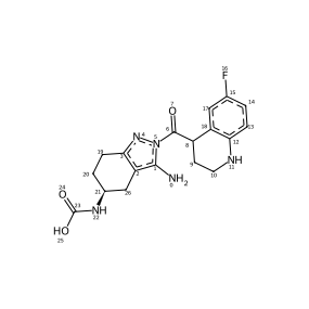 Nc1c2c(nn1C(=O)C1CCNc3ccc(F)cc31)CC[C@H](NC(=O)O)C2